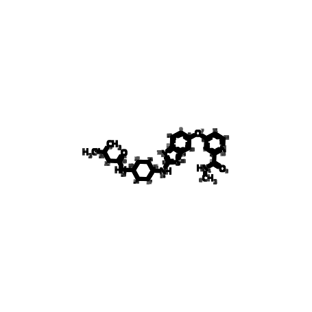 CNC(=O)c1cc(Oc2ccc3nc(NC4CCC(NC(=O)CC(C)C)CC4)sc3c2)ccn1